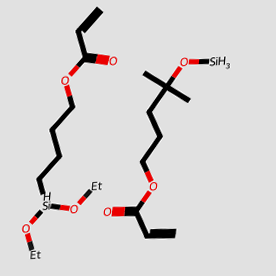 C=CC(=O)OCCCC(C)(C)O[SiH3].C=CC(=O)OCCCC[SiH](OCC)OCC